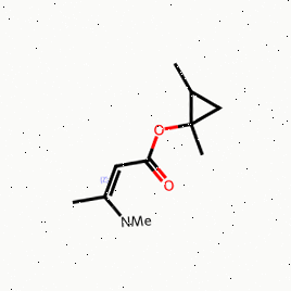 CN/C(C)=C\C(=O)OC1(C)CC1C